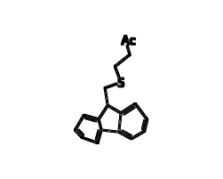 CC(=O)CCSCC1c2ccccc2-c2ccccc21